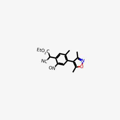 CCOC(=O)C(C#N)c1cc(C)c(-c2c(C)noc2C)cc1N=O